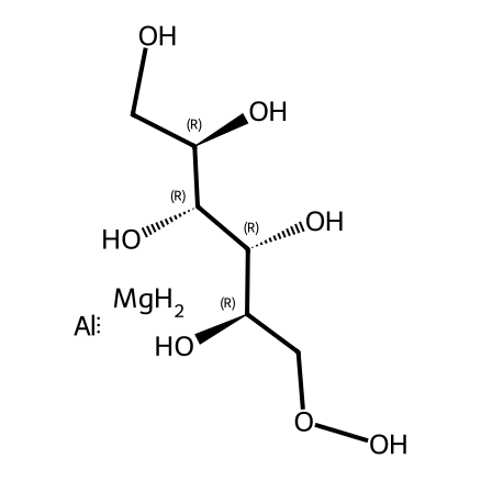 OC[C@@H](O)[C@@H](O)[C@H](O)[C@H](O)COO.[Al].[MgH2]